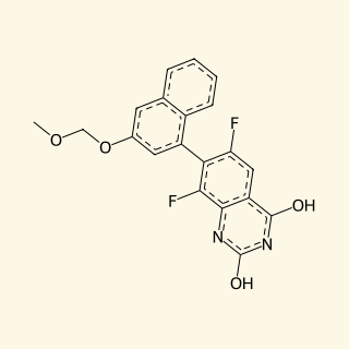 COCOc1cc(-c2c(F)cc3c(O)nc(O)nc3c2F)c2ccccc2c1